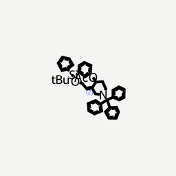 CC(=O)OC1CCN(C(c2ccccc2)(c2ccccc2)c2ccccc2)C/C1=C/CO[Si](c1ccccc1)(c1ccccc1)C(C)(C)C